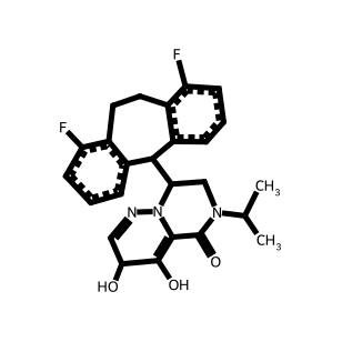 CC(C)N1CC(C2c3cccc(F)c3CCc3c(F)cccc32)N2N=CC(O)C(O)=C2C1=O